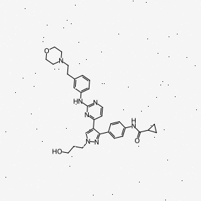 O=C(Nc1ccc(-c2nn(CCCO)cc2-c2ccnc(Nc3cccc(CCN4CCOCC4)c3)n2)cc1)C1CC1